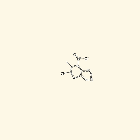 Cc1c(Cl)cc2cncnc2c1[N+](=O)[O-]